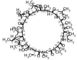 C/C=C/C[C@@H](C)[C@@H](O)[C@H]1C(=O)N[C@@H](CC)C(=O)N(C)CC(=O)N(C)[C@H](C)C(=O)N[C@@H](C(C)C)C(=O)N(C)[C@@H](C)C(=O)N[C@@H](CC(C)C)C(=O)N[C@H](C)C(=O)N(C)[C@@H](CC(C)C)C(=O)N(C)[C@@H](CC(C)C)C(=O)N(C)[C@@H](C(C)C)C(=O)N1C